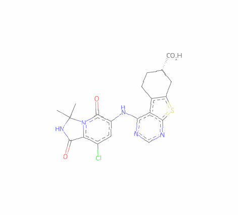 CC1(C)NC(=O)c2c(Cl)cc(Nc3ncnc4sc5c(c34)CC[C@H](C(=O)O)C5)c(=O)n21